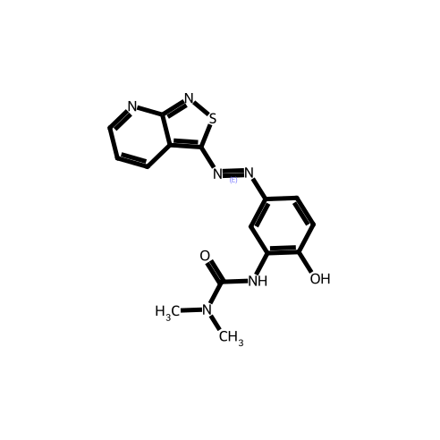 CN(C)C(=O)Nc1cc(/N=N/c2snc3ncccc23)ccc1O